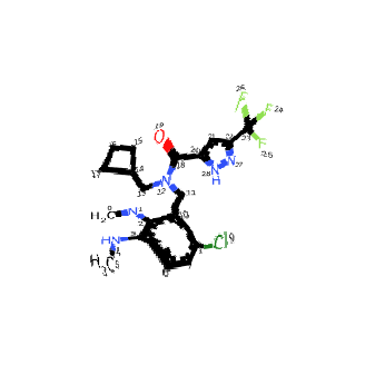 C=Nc1c(NC)ccc(Cl)c1CN(CC1CCC1)C(=O)c1cc(C(F)(F)F)n[nH]1